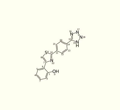 Oc1ccccc1-c1csc(-c2ccc(-c3nnn[nH]3)cc2)n1